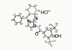 CC(C)(C)c1cc(C(=O)Cn2ccn(Cc3ccccc3)/c2=N\C2CCCCC2)cc(C(C)(C)C)c1O.Cl